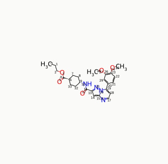 CCCOC(=O)[C@H]1CC[C@H](NC(=O)c2cc3nccc(-c4ccc(OC)c(OC)c4)n3n2)CC1